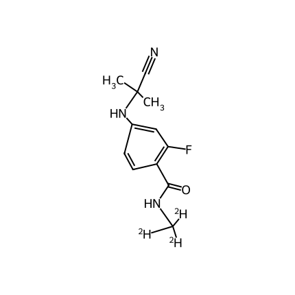 [2H]C([2H])([2H])NC(=O)c1ccc(NC(C)(C)C#N)cc1F